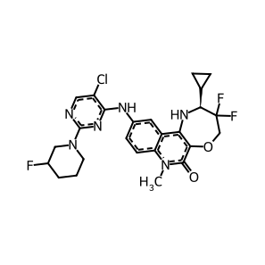 Cn1c(=O)c2c(c3cc(Nc4nc(N5CCCC(F)C5)ncc4Cl)ccc31)N[C@@H](C1CC1)C(F)(F)CO2